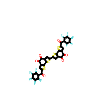 O=C1C(=O)c2cc(-c3cc4c(s3)-c3sc(C(=O)c5c(F)c(F)c(F)c(F)c5F)cc3C(=O)C4=O)sc2-c2sc(C(=O)c3c(F)c(F)c(F)c(F)c3F)cc21